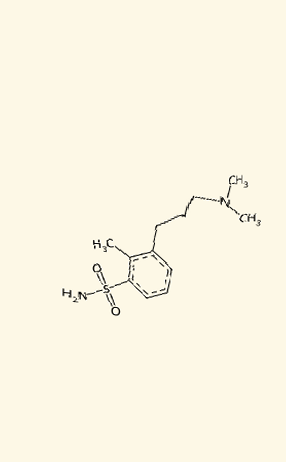 Cc1c(CCCN(C)C)cccc1S(N)(=O)=O